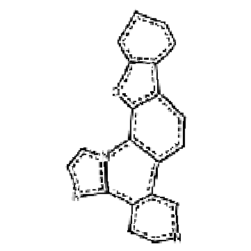 c1ccc2c(c1)oc1c2ccc2c3cnccc3c3nccn3c21